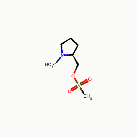 CS(=O)(=O)OC[C@@H]1CCCN1C(=O)O